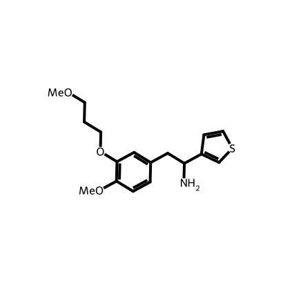 COCCCOc1cc(CC(N)c2ccsc2)ccc1OC